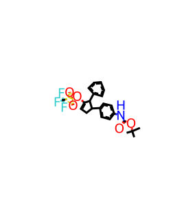 CC(C)(C)OC(=O)Nc1ccc(C2CC=C(OS(=O)(=O)C(F)(F)F)C2c2ccccc2)cc1